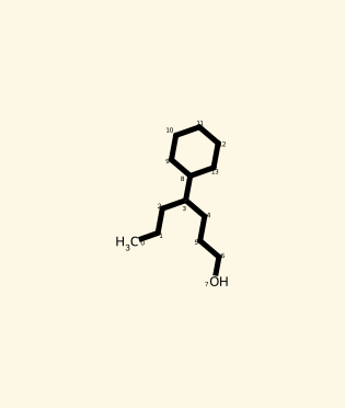 CCCC(CCCO)C1CCCCC1